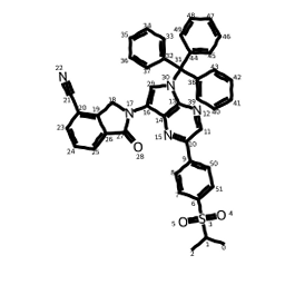 CC(C)S(=O)(=O)c1ccc(-c2cnc3c(n2)c(N2Cc4c(C#N)cccc4C2=O)cn3C(c2ccccc2)(c2ccccc2)c2ccccc2)cc1